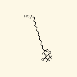 CC1(C)C(=O)N(OC(=O)CCCCCCCCCCCCCCC(=O)O)C(=O)C1(C)C